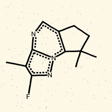 Cc1c(F)nn2c3c(cnc12)CCC3(C)C